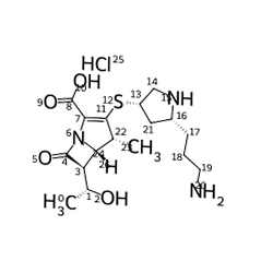 C[C@@H](O)[C@H]1C(=O)N2C(C(=O)O)=C(S[C@@H]3CN[C@H](CCCN)C3)[C@H](C)[C@H]12.Cl